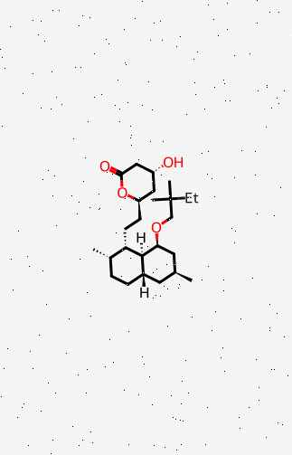 CCC(C)(C)CO[C@H]1C[C@@H](C)C[C@@H]2CC[C@H](C)[C@H](CC[C@@H]3C[C@@H](O)CC(=O)O3)[C@H]21